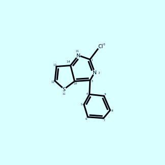 Clc1nc(-c2ccccc2)c2sccc2n1